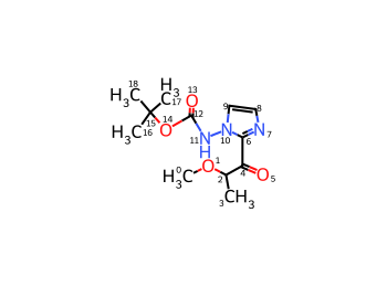 COC(C)C(=O)c1nccn1NC(=O)OC(C)(C)C